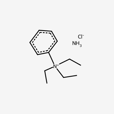 CC[N+](CC)(CC)c1ccccc1.N.[Cl-]